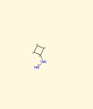 [NH]NC1CCC1